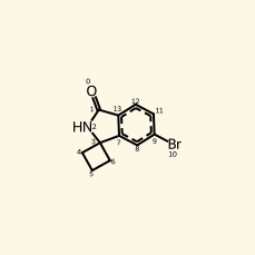 O=C1NC2(CCC2)c2cc(Br)ccc21